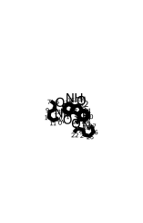 COc1cc(OC(C)C2CCCCN2)c(N)c2c1-c1c(OC(C)C3CCCCN3)cccc1C2=O